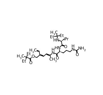 C=C/C(=C\C=C(/C)NC(=O)[C@H](CCCNC(N)=O)NC(=O)[C@@H](NC(C)(CC)CC)C(C)C)COC(=O)C(C)(CC)CC